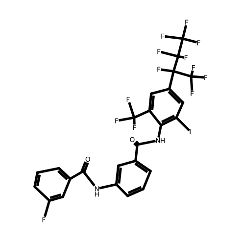 O=C(Nc1cccc(C(=O)Nc2c(I)cc(C(F)(C(F)(F)F)C(F)(F)C(F)(F)F)cc2C(F)(F)F)c1)c1cccc(F)c1